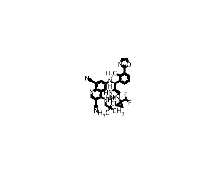 Cc1c(-c2ncco2)cccc1[C@H](Nc1cc(C#N)c2ncc(C#N)c(NCC(C)(C)C)c2c1)C1=CN(C2(C(F)F)CC2)NN1